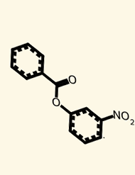 O=C(Oc1cc[c]c([N+](=O)[O-])c1)c1ccccc1